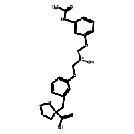 CC(=O)Nc1cccc(OC[C@H](O)COc2cccc(CC3(C(=O)O)CCCO3)c2)c1